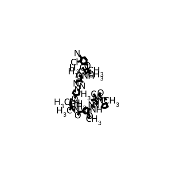 CC[C@@H]1C(=O)N(C)c2cnc(Nc3ccc(C(=O)NCC(C)(C)CC(C)(C)COC4CCN(c5ncc(C(=O)N[C@H]6C(C)(C)[C@H](Oc7ccc(C#N)c(Cl)c7)C6(C)C)cn5)CC4)cc3OC)nc2N1C1CCCC1